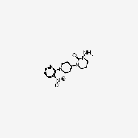 NN1CCCN(C2CCN(c3ncccc3[N+](=O)[O-])CC2)C1=O